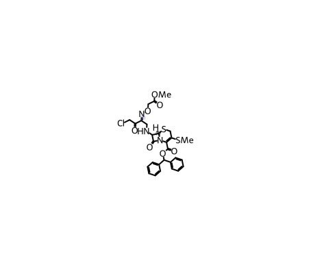 COC(=O)CO/N=C(\CNC1C(=O)N2C(C(=O)OC(c3ccccc3)c3ccccc3)=C(SC)CS[C@H]12)C(=O)CCl